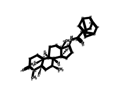 C[C@H]1C[C@H]2N(C)C(=O)CC[C@]2(C)[C@H]2CC[C@]3(C)[C@@H](NC(=O)C45CC6CC(CC(C6)C4)C5)CC[C@H]3[C@H]12